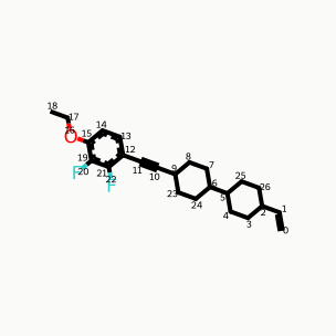 C=CC1CCC(C2CCC(C#Cc3ccc(OCC)c(F)c3F)CC2)CC1